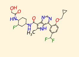 Cc1[nH]c2c(-c3cc(C(F)F)ccc3OCC3CC3)ncnc2c1C(=O)N[C@@H]1CC[C@H](NC(=O)CO)[C@H](F)C1